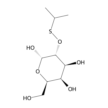 CC(C)SO[C@@H]1[C@@H](O)[C@@H](O)[C@@H](CO)O[C@@H]1O